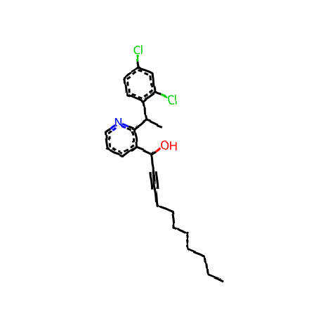 CCCCCCCCC#CC(O)c1cccnc1C(C)c1ccc(Cl)cc1Cl